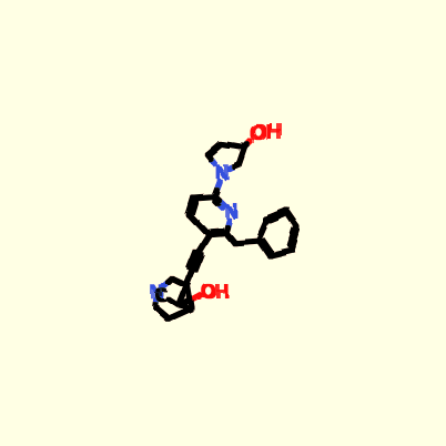 OC1CCN(c2ccc(C#CC3(O)CN4CCC3CC4)c(Cc3ccccc3)n2)C1